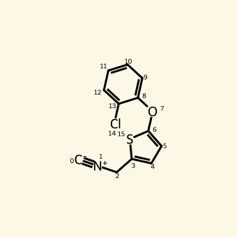 [C-]#[N+]Cc1ccc(Oc2ccccc2Cl)s1